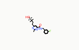 Cc1nc(CCC(C)(C)[Si](C)(C)O)cc(C(=O)NCc2cccc(F)c2)n1